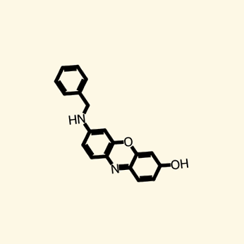 OC1C=CC2=Nc3ccc(NCc4ccccc4)cc3OC2=C1